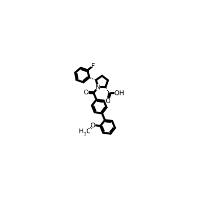 COc1ccccc1-c1ccc(C(=O)N2[C@@H](C(=O)O)CC[C@H]2c2ccccc2F)cc1